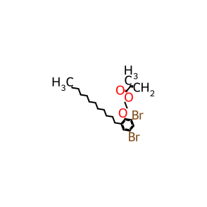 C=C(C)C(=O)OCCOc1c(Br)cc(Br)cc1CCCCCCCCCCCC